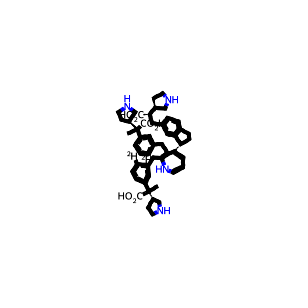 [2H]c1ccc(C(C)(C(=O)O)[C@H]2CCNC2)cc1CC1=C(Cc2cc(C(C)(C(=O)O)[C@H]3CCNC3)ccc2[2H])C([C@H]2CCc3ccc(C[C@H](C(=O)O)[C@H]4CCNC4)cc32)=CC=CN1